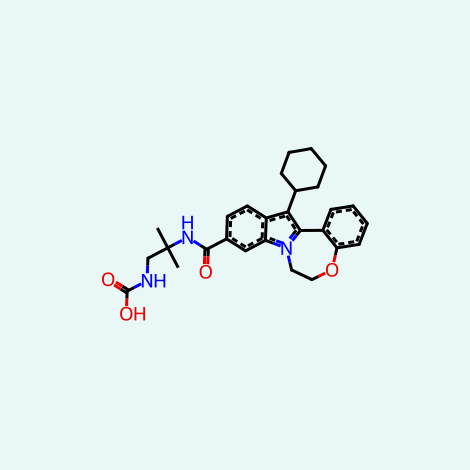 CC(C)(CNC(=O)O)NC(=O)c1ccc2c(C3CCCCC3)c3n(c2c1)CCOc1ccccc1-3